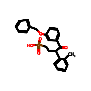 Cc1ccccc1C(CCS(=O)(=O)O)C(=O)c1cccc(OCc2ccccc2)c1